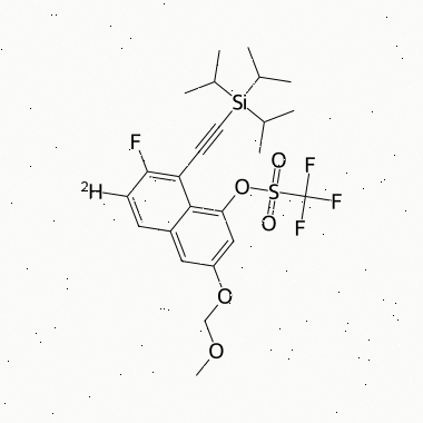 [2H]c1cc2cc(OCOC)cc(OS(=O)(=O)C(F)(F)F)c2c(C#C[Si](C(C)C)(C(C)C)C(C)C)c1F